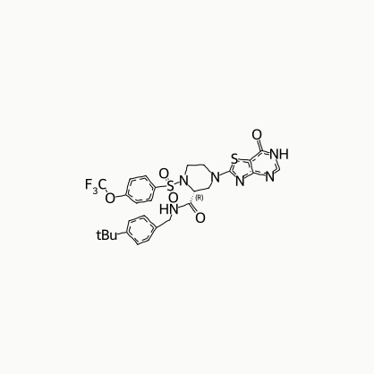 CC(C)(C)c1ccc(CNC(=O)[C@H]2CN(c3nc4nc[nH]c(=O)c4s3)CCN2S(=O)(=O)c2ccc(OC(F)(F)F)cc2)cc1